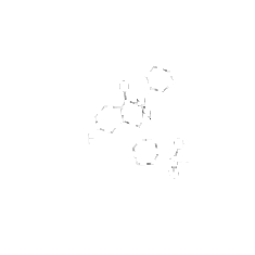 CS(=O)(=O)c1cccc(-c2nn(-c3ccccc3)c(=O)c3ccc(F)cc23)c1